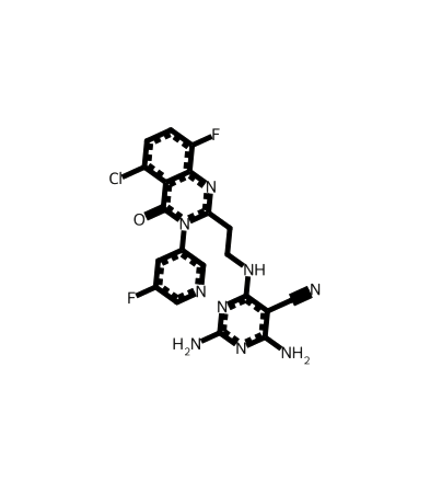 N#Cc1c(N)nc(N)nc1NCCc1nc2c(F)ccc(Cl)c2c(=O)n1-c1cncc(F)c1